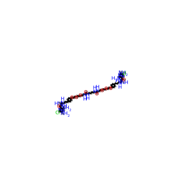 N=C(NCCCc1ccc(OCCOCCOCCNC(=O)NCCCCNC(=O)NCCOCCOCCOc2ccc(CCCNC(=N)NC(=O)c3nc(Cl)c(N)nc3N)cc2)cc1)NC(=O)c1nc(Cl)c(N)nc1N